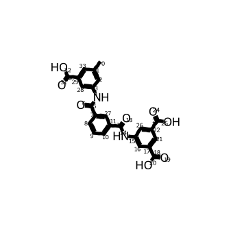 Cc1cc(NC(=O)c2cccc(C(=O)Nc3cc(C(=O)O)cc(C(=O)O)c3)c2)cc(C(=O)O)c1